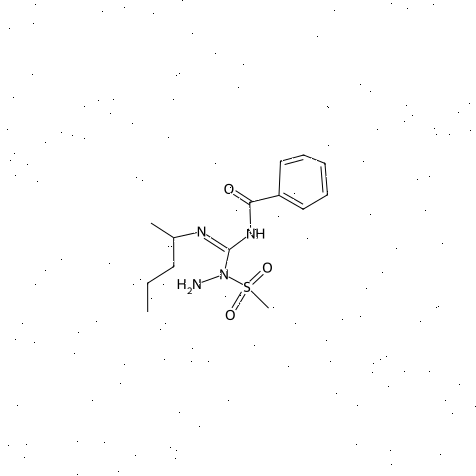 CCCC(C)N=C(NC(=O)c1ccccc1)N(N)S(C)(=O)=O